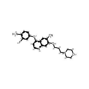 N#Cc1cc2c(Oc3ccc(N)c(F)c3)ccnc2cc1OCCCN1CCOCC1